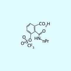 CCCNC(=O)c1c(OS(=O)(=O)C(F)(F)F)cccc1C(=O)O